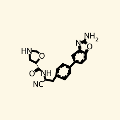 N#C[C@@H](Cc1ccc(-c2ccc3oc(N)nc3c2)cc1)NC(=O)[C@@H]1CNCO1